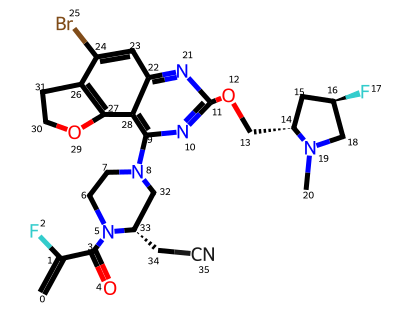 C=C(F)C(=O)N1CCN(c2nc(OC[C@@H]3C[C@@H](F)CN3C)nc3cc(Br)c4c(c23)OCC4)C[C@@H]1CC#N